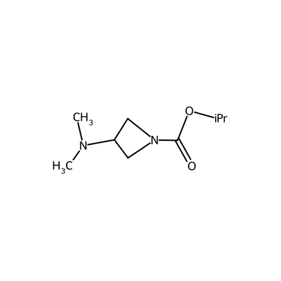 CC(C)OC(=O)N1CC(N(C)C)C1